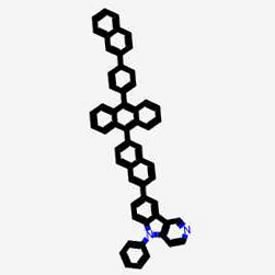 C1=CC(c2ccc3ccccc3c2)CC=C1c1c2ccccc2c(-c2ccc3cc(-c4ccc5c(c4)c4cnccc4n5-c4ccccc4)ccc3c2)c2ccccc12